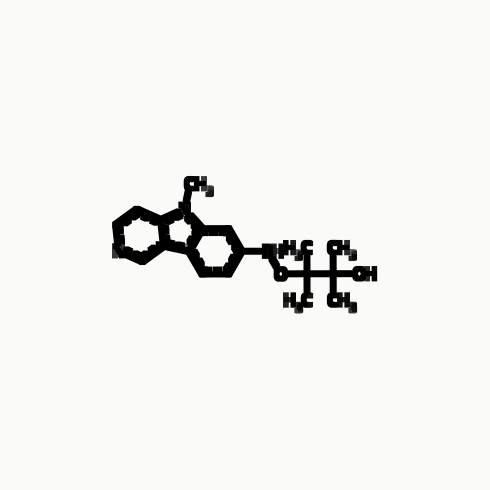 Cn1c2ccncc2c2ccc(BOC(C)(C)C(C)(C)O)cc21